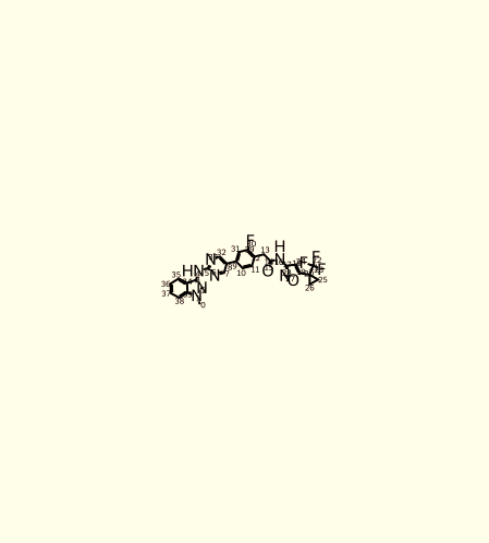 Cn1nc(Nc2ncc(-c3ccc(CC(=O)Nc4cc(C5(C(F)(F)F)CC5)on4)c(F)c3)cn2)c2ccccc21